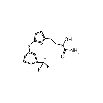 NC(=O)N(O)CCc1ccc(Sc2cccc(C(F)(F)F)c2)s1